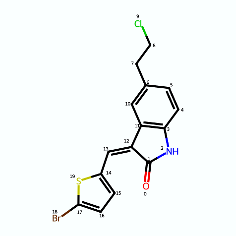 O=C1Nc2ccc(CCCl)cc2C1=Cc1ccc(Br)s1